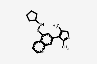 CC1=NCC(C)=C1c1cc(SNC2CCCC2)c2cccnc2c1